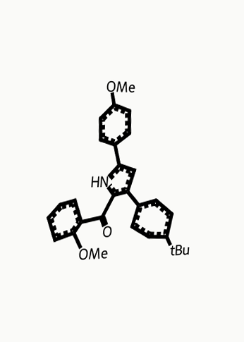 COc1ccc(-c2cc(-c3ccc(C(C)(C)C)cc3)c(C(=O)c3ccccc3OC)[nH]2)cc1